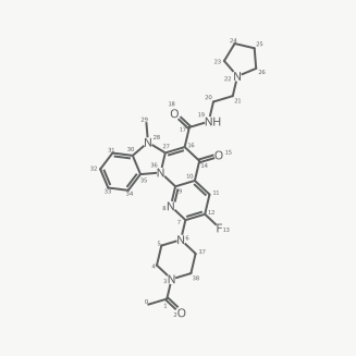 CC(=O)N1CCN(c2nc3c(cc2F)c(=O)c(C(=O)NCCN2CCCC2)c2n(C)c4ccccc4n32)CC1